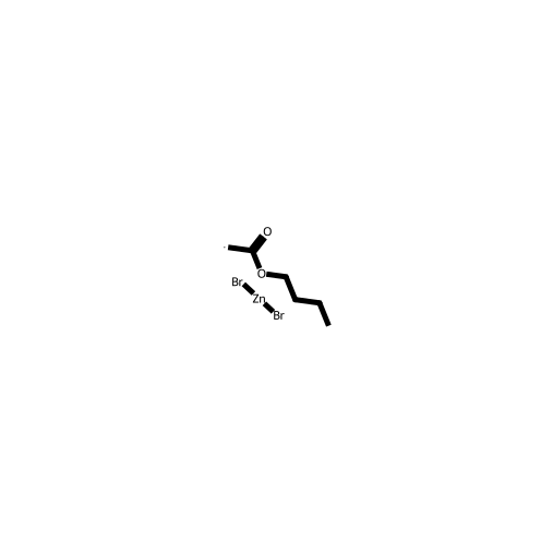 [Br][Zn][Br].[CH2]C(=O)OCCCC